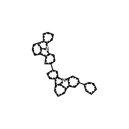 c1ccc(-c2ccc3c(c2)c2cccc4c5ccc(-c6ccc7c(c6)c6cccc8c9ccccc9n7c86)cc5n3c24)cc1